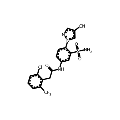 N#Cc1cnn(-c2ccc(NC(=O)Cc3c(Cl)cccc3C(F)(F)F)cc2S(N)(=O)=O)c1